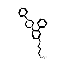 O=C(O)CCCOc1ccc(N2CCN(c3ccncc3)CC2)c(-c2ccccc2)c1